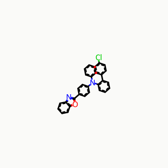 Clc1ccc(-c2ccccc2N(c2ccccc2)c2ccc(-c3nc4ccccc4o3)cc2)cc1